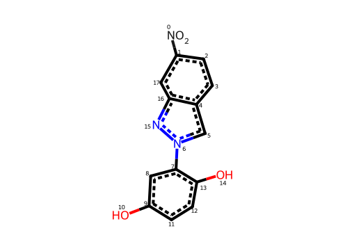 O=[N+]([O-])c1ccc2cn(-c3cc(O)ccc3O)nc2c1